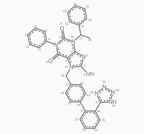 CCCc1nc2c(c(=O)n(-c3ccccc3)c(=O)n2C(C)c2ccccc2)n1Cc1ccc(-c2ccccc2-c2nnn[nH]2)cc1